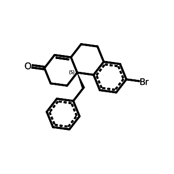 O=C1C=C2CCc3cc(Br)ccc3[C@]2(Cc2ccccc2)CC1